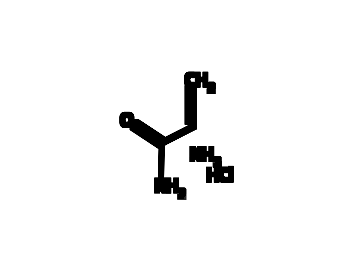 C=CC(N)=O.Cl.N